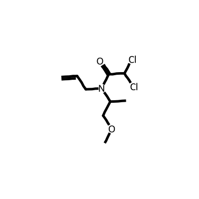 C=CCN(C(=O)C(Cl)Cl)C(C)COC